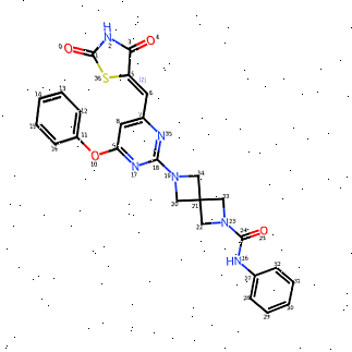 O=C1NC(=O)/C(=C/c2cc(Oc3ccccc3)nc(N3CC4(CN(C(=O)Nc5ccccc5)C4)C3)n2)S1